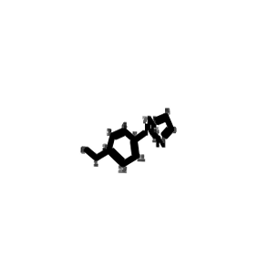 CCc1ccc(-n2nccn2)cc1